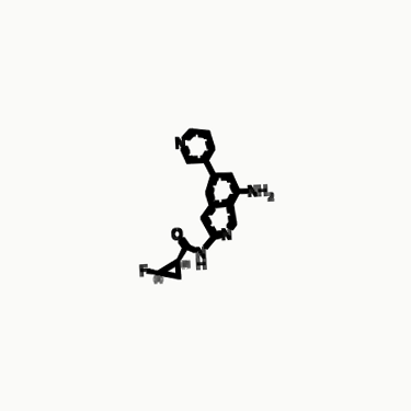 Nc1cc(-c2cccnc2)cc2cc(NC(=O)[C@H]3C[C@H]3F)ncc12